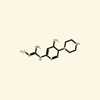 C/N=C(\N)NC1=CC(C)C(N2CCNCC2)C=N1